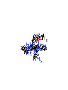 CN(C)C(=O)[C@@H]1CCCN1[C@H]1CC[C@H](CNc2nc(NCc3ccccc3OC(F)(F)F)ncc2[N+](=O)[O-])CC1.Cc1ncccc1CNc1ncc([N+](=O)[O-])c(NC[C@H]2CC[C@H](N)CC2)n1